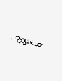 C[C@]12C=CC(=O)NC1CCC1C2CC[C@@]2(C)C1CC[C@@H]2COC(=O)COCc1ccc(C(F)(F)F)cc1